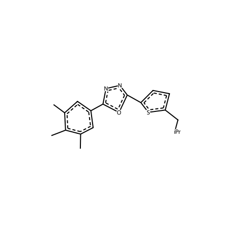 Cc1cc(-c2nnc(-c3ccc(CC(C)C)s3)o2)cc(C)c1C